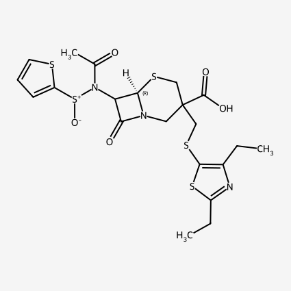 CCc1nc(CC)c(SCC2(C(=O)O)CS[C@@H]3C(N(C(C)=O)[S+]([O-])c4cccs4)C(=O)N3C2)s1